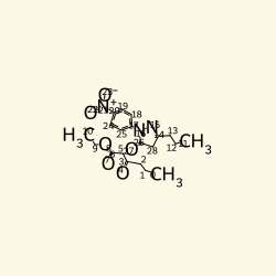 CCCC(=O)CC(=O)OCC.CCCC1=NN(c2ccc([N+](=O)[O-])cc2)C(=O)C1